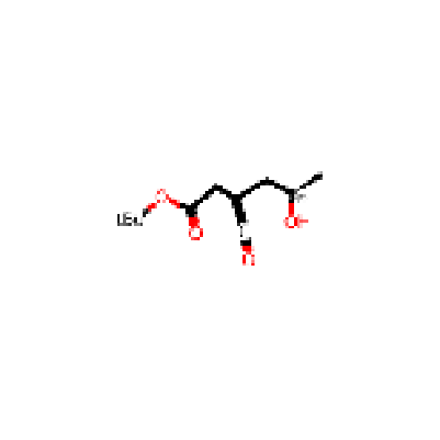 C[C@@H](O)CC(=C=O)CC(=O)OC(C)(C)C